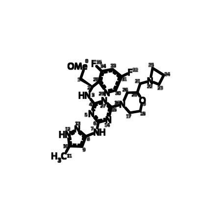 COC[C@H](Nc1nc(Nc2cc(C)[nH]n2)nc(N2CCOC(CN3CCC3)C2)n1)c1ncc(F)cc1F